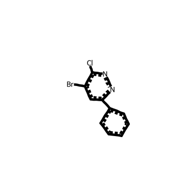 Clc1nnc(-c2ccccc2)cc1Br